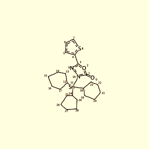 O=c1oc(-c2cccs2)n[n]1[Sn]([CH]1CCCCC1)([CH]1CCCCC1)[CH]1CCCCC1